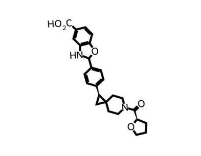 O=C(O)c1ccc2c(c1)NC(c1ccc([C@@H]3CC34CCN(C(=O)[C@H]3CCCO3)CC4)cc1)O2